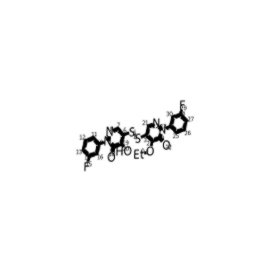 CCOc1c(SSc2cnn(-c3cccc(F)c3)c(=O)c2O)cnn(-c2cccc(F)c2)c1=O